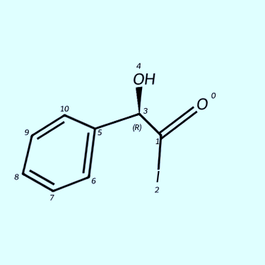 O=C(I)[C@H](O)c1ccccc1